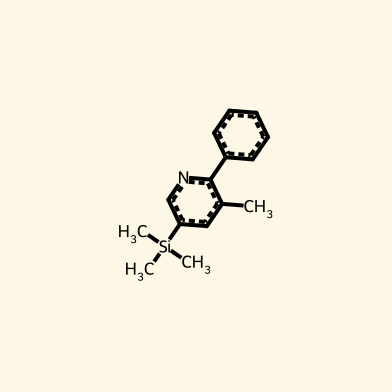 Cc1cc([Si](C)(C)C)cnc1-c1ccccc1